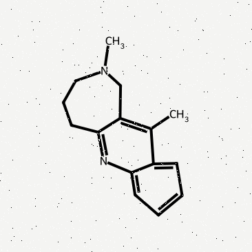 Cc1c2c(nc3ccccc13)CCCN(C)C2